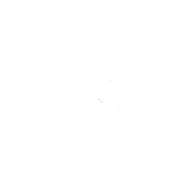 CCOC(=O)C(F)(F)C1Cc2cc(Cl)ccc2N1C